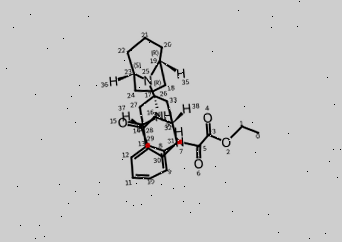 CCOC(=O)C(=O)Nc1ccccc1C(=O)N[C@H]1C[C@H]2CCC[C@@H](C1)N2C1C[C@H]2CCC[C@@H](C1)C2